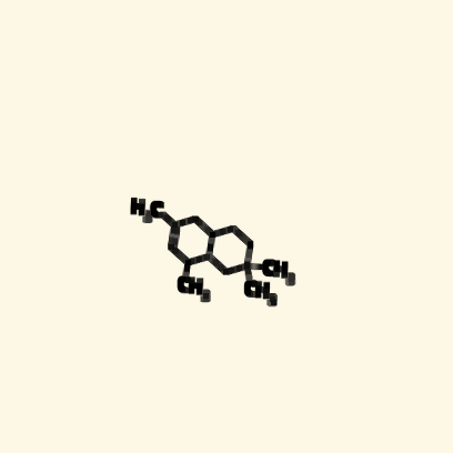 CC1=CC(C)C2CC(C)(C)CCC2C1